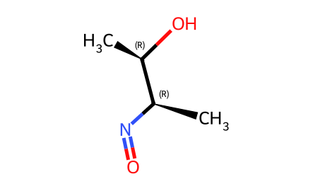 C[C@@H](O)[C@@H](C)N=O